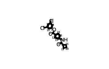 O=C(Oc1cc(Cl)cc(Cl)c1)c1ccc(NC(=O)C2CCC2)cc1